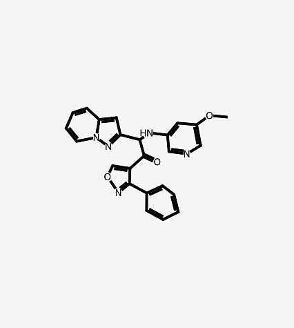 COc1cncc(NC(C(=O)c2conc2-c2ccccc2)c2cc3ccccn3n2)c1